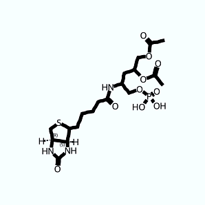 CC(=O)OCC(CC(COP(=O)(O)O)NC(=O)CCCCC1SC[C@@H]2NC(=O)N[C@H]12)OC(C)=O